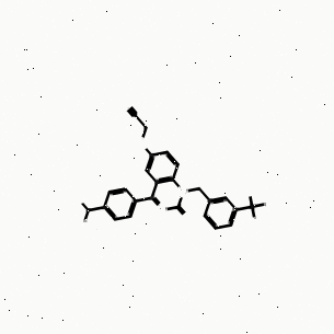 C#CCOc1ccc2c(c1)c(-c1ccc(C(C)C)cc1)nc(=O)n2Cc1cccc(C(F)(F)F)c1